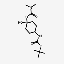 CN(C)C(=O)OC1(O)CCC(NC(=O)OC(C)(C)C)CC1